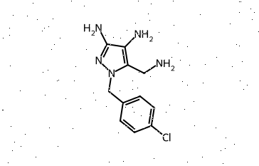 NCc1c(N)c(N)nn1Cc1ccc(Cl)cc1